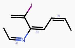 C=C(I)C(=C\C=C/C)/N=C\C